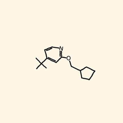 CC(C)(C)c1ccnc(OCC2CCCC2)c1